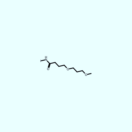 COCCCOCCCC(=O)NI